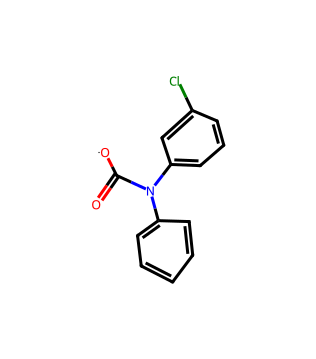 [O]C(=O)N(c1ccccc1)c1cccc(Cl)c1